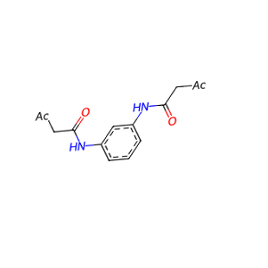 CC(=O)CC(=O)Nc1cccc(NC(=O)CC(C)=O)c1